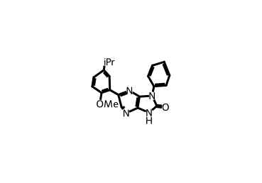 COc1ccc(C(C)C)cc1-c1cnc2[nH]c(=O)n(-c3ccccc3)c2n1